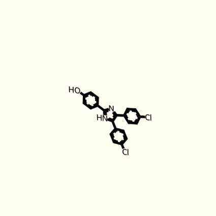 Oc1ccc(-c2nc(-c3ccc(Cl)cc3)c(-c3ccc(Cl)cc3)[nH]2)cc1